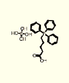 O=C(O)CCCC[P+](c1ccccc1)(c1ccccc1)c1ccccc1.O[B-](O)(O)O